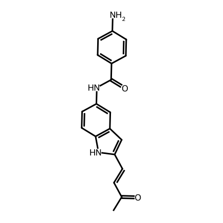 CC(=O)/C=C/c1cc2cc(NC(=O)c3ccc(N)cc3)ccc2[nH]1